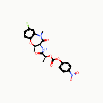 C[C@H](OC(=O)Oc1ccc([N+](=O)[O-])cc1)C(=O)N[C@@H]1C(=O)N(C)c2cc(F)ccc2O[C@@H]1C